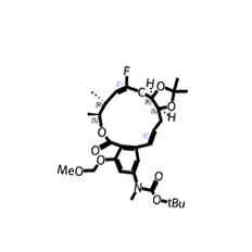 COCOc1cc(N(C)C(=O)OC(C)(C)C)cc2c1C(=O)O[C@@H](C)[C@H](C)/C=C(/F)C[C@H]1OC(C)(C)O[C@H]1C/C=C/2